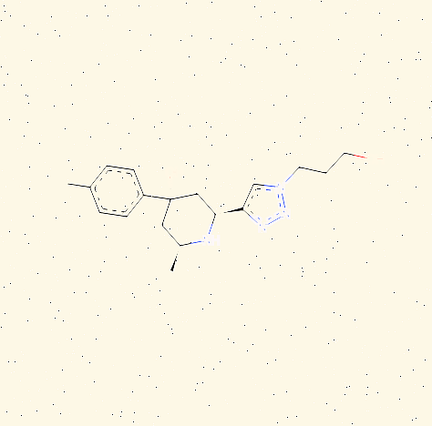 C[C@H]1C[C@@](O)(c2ccc(C(F)(F)F)cc2)C[C@@H](c2cn(CCCO)nn2)N1